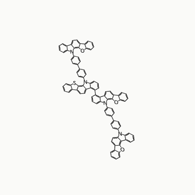 c1ccc2c(c1)oc1c2ccc2c1c1ccccc1n2-c1ccc(-c2ccc(-n3c4cccc(-c5cccc6c5c5ccc7c8ccccc8sc7c5n6-c5ccc(-c6ccc(-n7c8ccccc8c8ccc9c%10ccccc%10oc9c87)cc6)cc5)c4c4ccc5c6ccccc6oc5c43)cc2)cc1